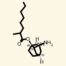 CCCCCCC(C)C(=O)O[C@@]12CC[C@H](CN1)C[C@@H]2N